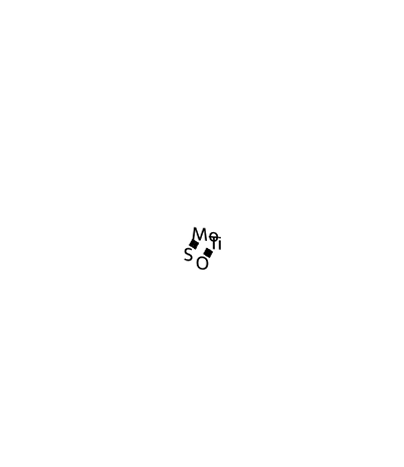 [O]=[Ti].[S]=[Mo]